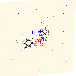 NC1CCC12CCN(C(=O)OCc1ccccc1)C2